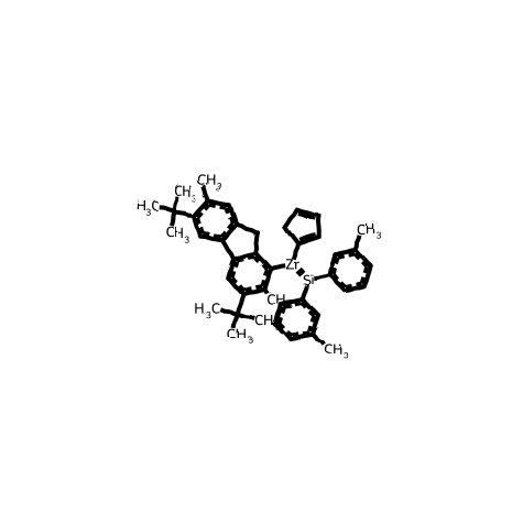 Cc1cccc([Si](c2cccc(C)c2)=[Zr]([C]2=CC=CC2)[c]2c(C)c(C(C)(C)C)cc3c2Cc2cc(C)c(C(C)(C)C)cc2-3)c1